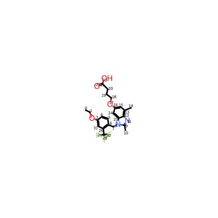 CCOc1ccc(Cn2c(C)nc3c(C)cc(OCCCC(=O)O)cc32)c(C(F)(F)F)c1